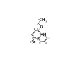 CCOc1ccc(Br)c2cccnc12